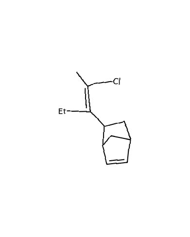 CC/C(=C(\C)Cl)C1CC2C=CC1C2